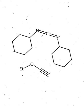 C#COCC.C(=NC1CCCCC1)=NC1CCCCC1